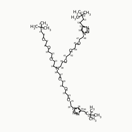 CC(C)(C)CCOCCOCCOCCN(CCOCCOCCOCCn1cc(CCC(C)(C)C)nn1)CCOCCOCCOCCn1cc(CCC(C)(C)C)nn1